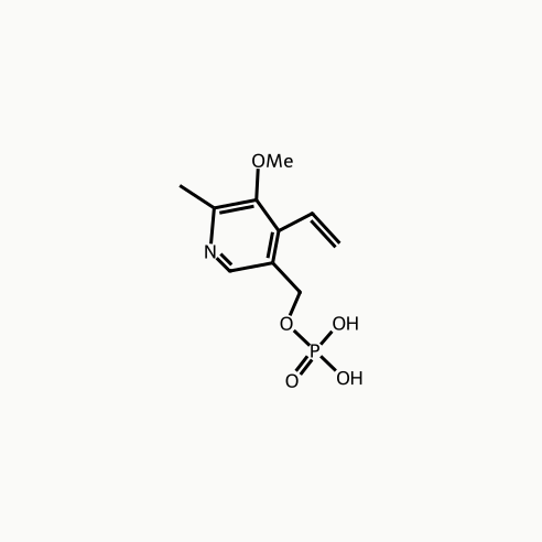 C=Cc1c(COP(=O)(O)O)cnc(C)c1OC